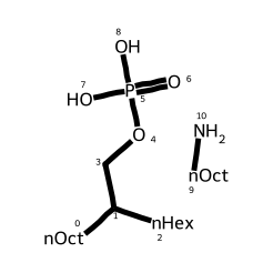 CCCCCCCCC(CCCCCC)COP(=O)(O)O.CCCCCCCCN